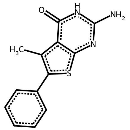 Cc1c(-c2ccccc2)sc2nc(N)[nH]c(=O)c12